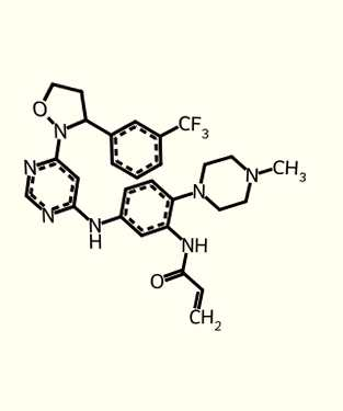 C=CC(=O)Nc1cc(Nc2cc(N3OCCC3c3cccc(C(F)(F)F)c3)ncn2)ccc1N1CCN(C)CC1